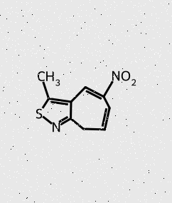 Cc1snc2c1C=C([N+](=O)[O-])C=CC2